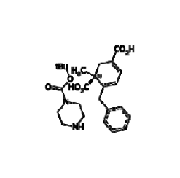 CC(C)(C)OC(=O)N1CCNCC1.C[C@]1(C(=O)O)CC(C(=O)O)=CC=C1Cc1ccccc1